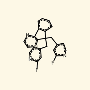 Fc1cc(CC2(Cc3ccnc(F)c3)c3ccccc3-c3nccnc32)ccn1